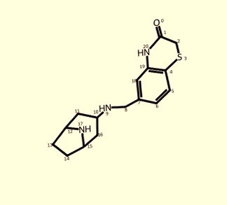 O=C1CSc2ccc(CNC3CC4CCC(C3)N4)cc2N1